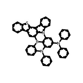 c1ccc(N(c2ccccc2)c2cc3c4c(c2)-n2c5ccccc5c5c6sc7ccccc7c6cc(c52)B4c2ccccc2N3c2ccccc2)cc1